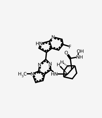 Cn1ccc2c(N[C@H]3C4CCC(CC4)[C@@H]3C(=O)NO)nc(-c3c[nH]c4ncc(F)cc34)nc21